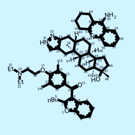 CCCCc1oc2ccccc2c1C(=O)c1cc(I)c(OCCN(CC)CC)c(I)c1.C[C@]12Cc3c[nH]nc3C[C@@H]1CC[C@@H]1[C@@H]2CC[C@@]2(C)[C@H]1CC[C@]2(C)O.Nc1c2c(nc3ccccc13)CCCC2